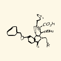 CC(C)Cn1c(C(NC(=O)O)C(C)(C)C)c(OCCCC(F)(F)F)c2cc(OCc3ccccc3)ccc2c1=O